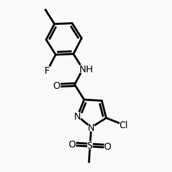 Cc1ccc(NC(=O)c2cc(Cl)n(S(C)(=O)=O)n2)c(F)c1